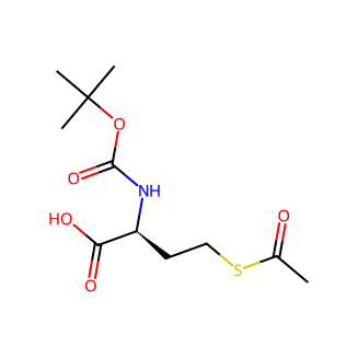 CC(=O)SCC[C@H](NC(=O)OC(C)(C)C)C(=O)O